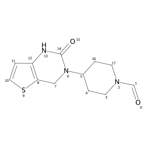 O=CN1CCC(N2Cc3sccc3NC2=O)CC1